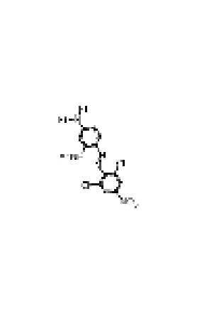 CCN(CC)c1ccc(N=Nc2c(Cl)cc([N+](=O)[O-])cc2Cl)c(NC(C)=O)c1